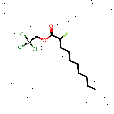 CCCCCCCCC(F)C(=O)OC[Si](Cl)(Cl)Cl